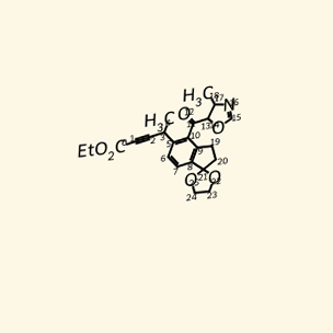 CCOC(=O)C#CC(C)c1ccc2c(c1C(=O)C1OC=NC1C)CCC21OCCO1